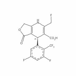 O=C(O)C1=C(CF)NC2=C(C(=O)OC2)[C@@H]1c1cc(F)cc(F)c1C(F)(F)F